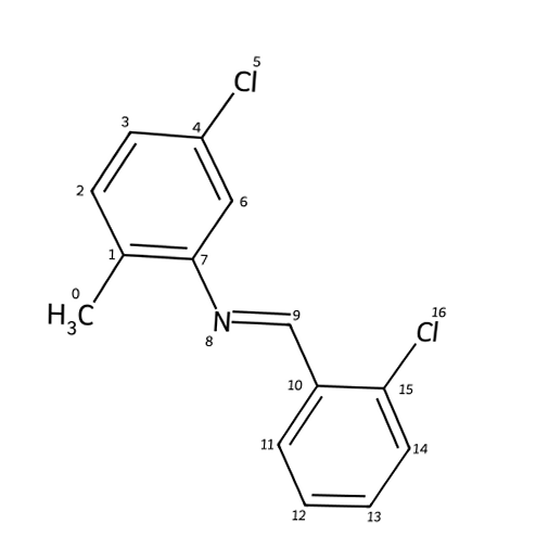 Cc1ccc(Cl)cc1/N=C/c1ccccc1Cl